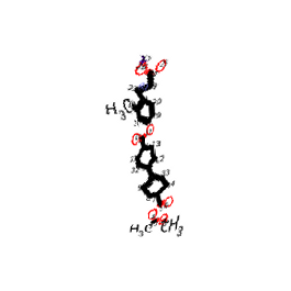 COC(C)OC(=O)C1CCC(C2CCC(C(=O)Oc3ccc(/C=C/C(=O)OI)c(C)c3)CC2)CC1